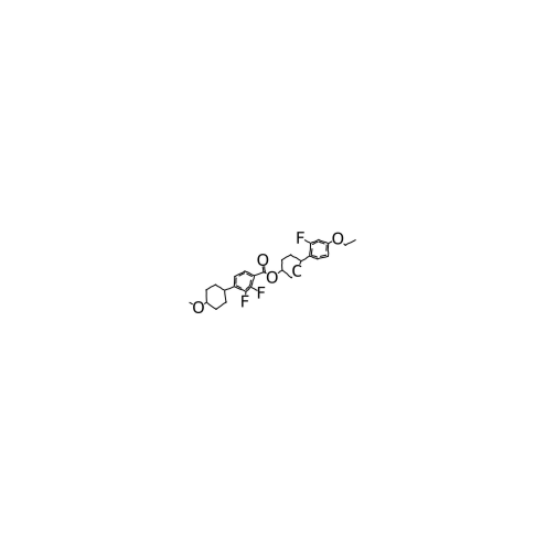 CCOc1ccc(C2CCC(OC(=O)c3ccc(C4CCC(OC)CC4)c(F)c3F)CC2)c(F)c1